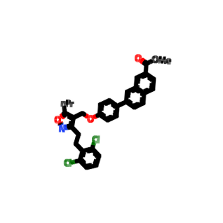 CCCc1onc(CCc2c(Cl)cccc2Cl)c1COc1ccc(-c2ccc3ccc(C(=O)OC)cc3c2)cc1